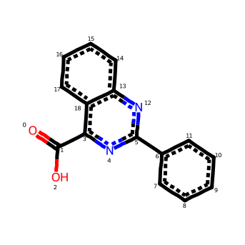 O=C(O)c1nc(-c2ccccc2)nc2ccccc12